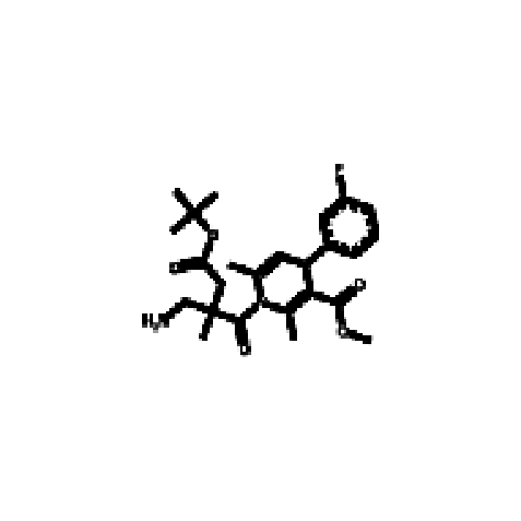 COC(=O)C1=C(C)N(C(=O)C(C)(CN)CC(=O)OC(C)(C)C)C(C)=CC1c1cccc(F)c1